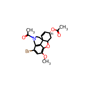 COc1cc(Br)c2c3c1OC1C[C@@H](OC(C)=O)C=CC31CCN(C(C)=O)C2